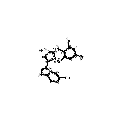 Br.Clc1ccc2ncc(-c3csc(Nc4c(Br)cc(Br)cc4Br)n3)n2c1